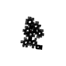 N#Cc1ccc2c(c1)c1ccccc1n2-c1cccc(-n2c3ccccc3c3ccc4c5ccccc5n(-c5ccccc5)c4c32)c1